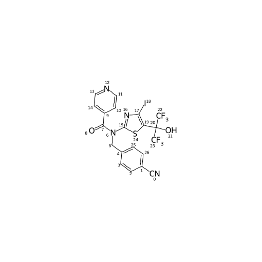 N#Cc1ccc(CN(C(=O)c2ccncc2)c2nc(I)c(C(O)(C(F)(F)F)C(F)(F)F)s2)cc1